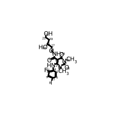 Cn1c(Nc2ccc(I)cc2F)c(C(=O)NOC[C@@H](O)CCO)c(=O)n(C)c1=O